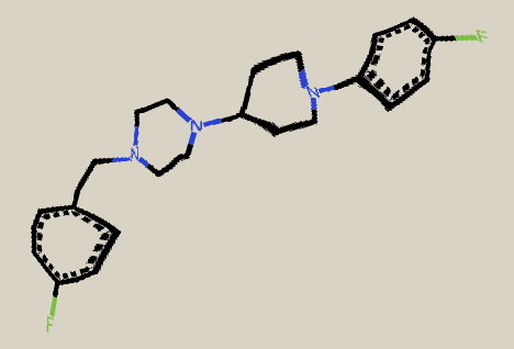 Fc1ccc(CN2CCN(C3CCN(c4ccc(F)cc4)CC3)CC2)cc1